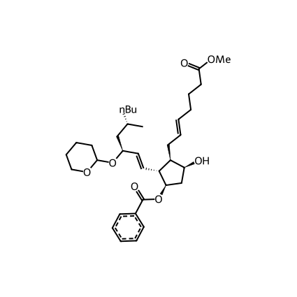 CCCC[C@H](C)C[C@@H](C=C[C@@H]1[C@@H](CC=CCCCC(=O)OC)[C@@H](O)C[C@H]1OC(=O)c1ccccc1)OC1CCCCO1